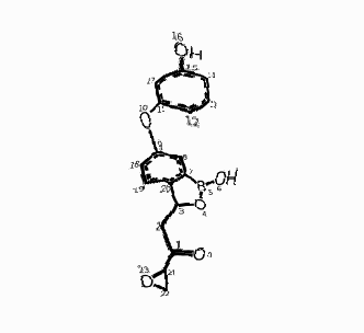 O=C(CC1OB(O)c2cc(Oc3cccc(O)c3)ccc21)C1CO1